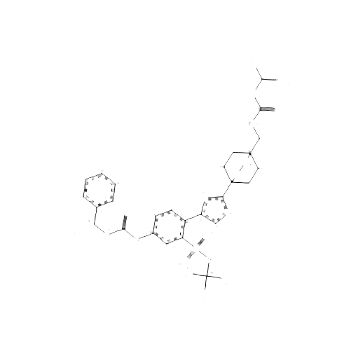 CC(C)OC(=O)NCC12CCC(c3ncc(-c4ccc(NC(=O)N[C@H](C)c5ccccc5)cc4S(=O)(=O)NC(C)(C)C)s3)(CC1)CC2